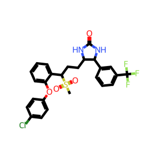 CS(=O)(=O)C(CCC1NC(=O)NC1c1cccc(C(F)(F)F)c1)c1ccccc1Oc1ccc(Cl)cc1